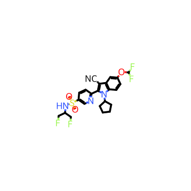 N#Cc1c(-c2ccc(S(=O)(=O)NC(CF)CF)cn2)n(C2CCCC2)c2ccc(OC(F)F)cc12